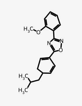 COc1ccccc1-c1noc(C2=CCC(CC(C)C)C=C2)n1